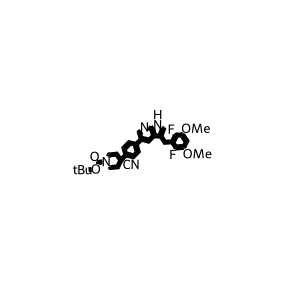 COc1cc(OC)c(F)c(Cc2c[nH]c3ncc(-c4ccc(C5(C#N)CCN(C(=O)OC(C)(C)C)CC5)cc4)cc23)c1F